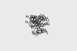 Cc1cc2c(cc1N1c3ccc(C(C)(C)C)cc3B3c4cc5c(cc4N(c4ccc6c(c4C)C(C)(C)CCC6(C)C)c4cc(C(C)(C)C)cc1c43)C(C)(C)CC5(C)C)C(C)(C)CCC2(C)C